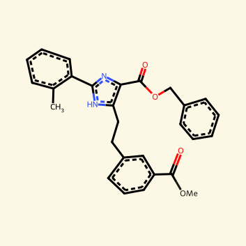 COC(=O)c1cccc(CCc2[nH]c(-c3ccccc3C)nc2C(=O)OCc2ccccc2)c1